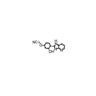 N#CCOc1ccc(-c2nc3ncccc3[nH]2)c(O)c1